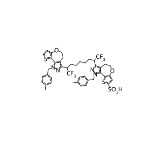 Cc1ccc(Cn2nc(C(CCCCCC(c3nn(Cc4ccc(C)cc4)c4c3CCOc3cc(S(=O)(=O)O)sc3-4)C(F)(F)F)C(F)(F)F)c3c2-c2sccc2OCC3)cc1